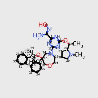 C[C@H](Oc1nc(/C(N)=N/O)nc(N2CCOCC(C)(O[Si](c3ccccc3)(c3ccccc3)C(C)(C)C)C2)n1)[C@@H]1CCCN1C